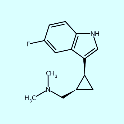 CN(C)C[C@@H]1C[C@@H]1c1c[nH]c2ccc(F)cc12